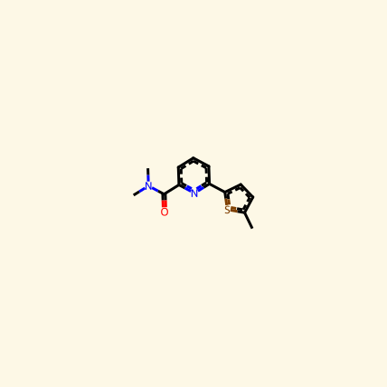 Cc1ccc(-c2cccc(C(=O)N(C)C)n2)s1